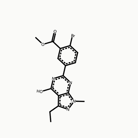 CCc1nn(C)c2nc(-c3ccc(Br)c(C(=O)OC)c3)nc(O)c12